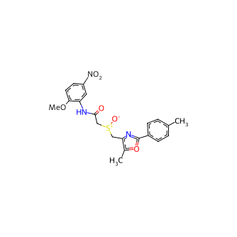 COc1ccc([N+](=O)[O-])cc1NC(=O)C[S+]([O-])Cc1nc(-c2ccc(C)cc2)oc1C